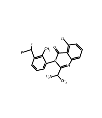 Cc1c(C(F)F)cccc1-n1c(C(C)N)nc2cccc(Cl)c2c1=O